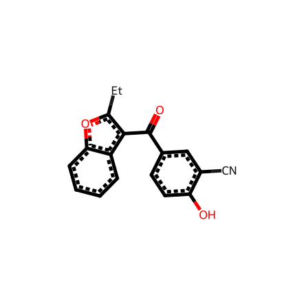 CCc1oc2ccccc2c1C(=O)c1ccc(O)c(C#N)c1